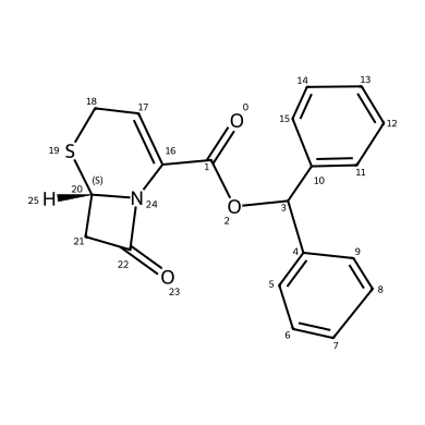 O=C(OC(c1ccccc1)c1ccccc1)C1=CCS[C@H]2CC(=O)N12